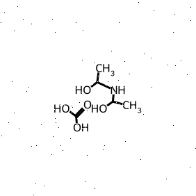 CC(O)NC(C)O.O=C(O)O